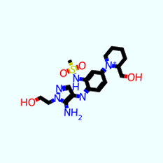 CS(=O)(=O)NC1=CC(=[N+]2\CCCCC2CO)/C=CC/1=N/c1cnn(CCO)c1N